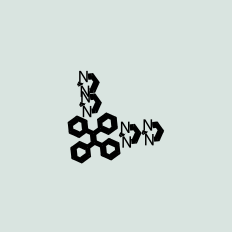 c1ccc(C(=C(c2ccccc2)c2ccccc2)c2ccccc2)cc1.c1cncnc1.c1cncnc1.c1cncnc1.c1cncnc1